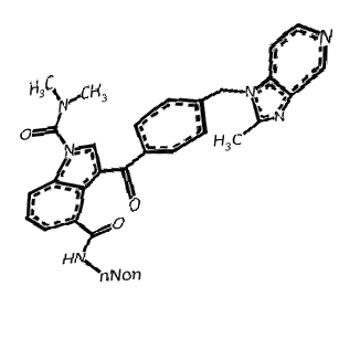 CCCCCCCCCNC(=O)c1cccc2c1c(C(=O)c1ccc(Cn3c(C)nc4cnccc43)cc1)cn2C(=O)N(C)C